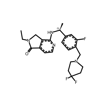 CCN1Cc2c(ccnc2N[C@@H](C)c2ccc(CN3CCC(F)(F)CC3)c(F)c2)C1=O